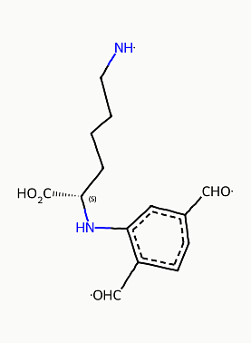 [NH]CCCC[C@H](Nc1cc([C]=O)ccc1[C]=O)C(=O)O